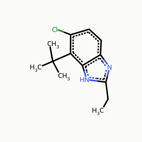 CCc1nc2ccc(Cl)c(C(C)(C)C)c2[nH]1